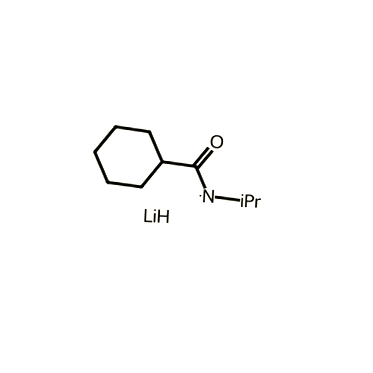 CC(C)[N]C(=O)C1CCCCC1.[LiH]